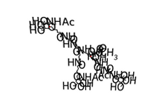 CC(=O)NC1C(OCCCCC(=O)NCCCC(=O)NCCCN(CCCCN(CCCNC(=O)CCCNC(=O)CCCCOC2CC(CO)C(O)C(O)C2NC(C)=O)C(=O)C(O)COP(C)(C)=O)C(=O)CCCNC(=O)CCCCOC2CC(CO)C(O)C(O)C2NC(C)=O)CC(CO)C(O)C1O